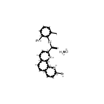 C=[C]([Fe][c]1c(C)cccc1C(C)C)c1ccc2ccc3ccc(Br)nc3c2n1.Cl.N